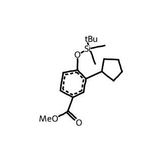 COC(=O)c1ccc(O[Si](C)(C)C(C)(C)C)c(C2CCCC2)c1